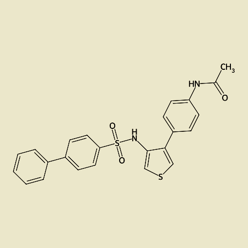 CC(=O)Nc1ccc(-c2cscc2NS(=O)(=O)c2ccc(-c3ccccc3)cc2)cc1